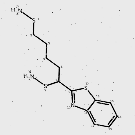 NSCCCCC(SN)c1nc2ccccc2s1